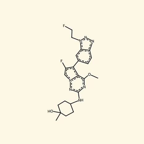 COc1nc(NC2CCC(C)(O)CC2)nn2cc(F)c(-c3ccc4nnn(CCF)c4c3)c12